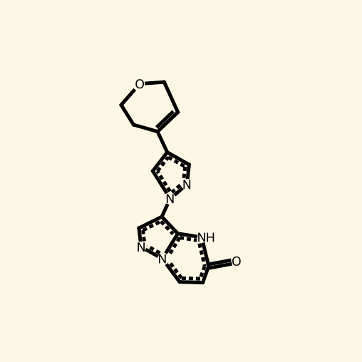 O=c1ccn2ncc(-n3cc(C4=CCOCC4)cn3)c2[nH]1